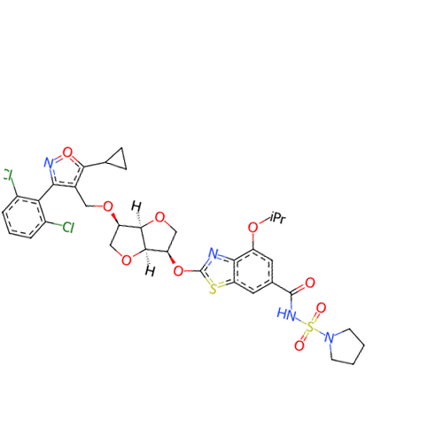 CC(C)Oc1cc(C(=O)NS(=O)(=O)N2CCCC2)cc2sc(O[C@@H]3CO[C@H]4[C@@H]3OC[C@H]4OCc3c(-c4c(Cl)cccc4Cl)noc3C3CC3)nc12